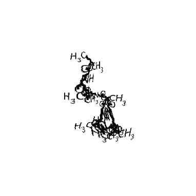 CCCCC(CC)COC(=O)CCNCC(CC)CCO[Si](CCCNCCC(=O)OCC(CC)(COC(=O)CCNCCC[Si](OCC)(OCC)OCC)COC(=O)CCNCCC[Si](OCC)(OCC)OCC)(OCC)OCC